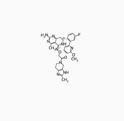 COc1cccc(-c2cc(F)ccc2[C@H]2Cc3nc(N)nc(C)c3/C(=N/OCC(=O)N3CCc4nc(C)[nH]c4C3)N2)n1